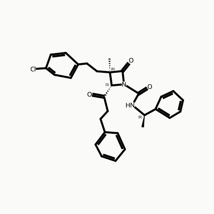 C[C@@H](NC(=O)N1C(=O)[C@](C)(CCc2ccc(Cl)cc2)[C@H]1C(=O)CCc1ccccc1)c1ccccc1